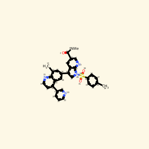 CNC(=O)c1cnc2c(c1)c(-c1cc(C)c3nccc(-c4cccnc4)c3c1)cn2S(=O)(=O)c1ccc(C)cc1